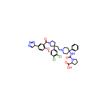 COc1ccc(C2C=NN=N2)cc1C(=O)N1CCC(CCN2CCC(NC(=O)N3CCCC3C(=O)O)(c3ccccc3)CC2)(c2ccc(Cl)c(Cl)c2)C1